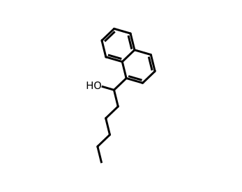 CCCCCC(O)c1cccc2ccccc12